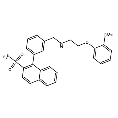 COc1ccccc1OCCNCc1cccc(-c2c(S(N)(=O)=O)ccc3ccccc23)c1